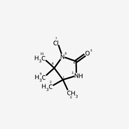 CC1(C)NC(=O)N(Cl)C1(C)C